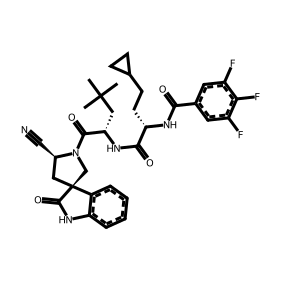 CC(C)(C)C[C@H](NC(=O)[C@H](CCC1CC1)NC(=O)c1cc(F)c(F)c(F)c1)C(=O)N1C[C@]2(C[C@H]1C#N)C(=O)Nc1ccccc12